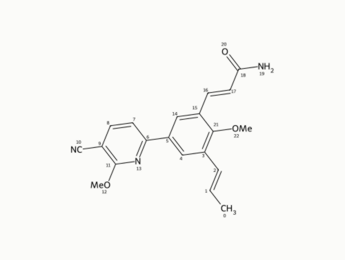 CC=Cc1cc(-c2ccc(C#N)c(OC)n2)cc(C=CC(N)=O)c1OC